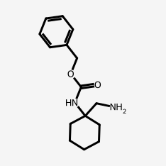 NCC1(NC(=O)OCc2ccccc2)CCCCC1